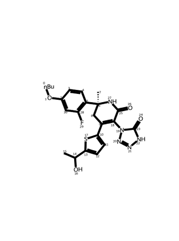 CCCCOc1ccc([C@]2(C)CC(c3ccc(C(C)O)s3)=C(n3nn[nH]c3=O)C(=O)N2)c(F)c1